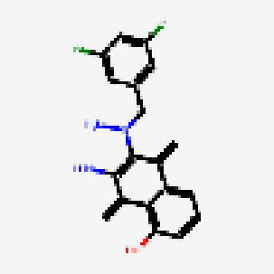 C=c1c(N(N)Cc2cc(F)cc(F)c2)c(N)c(=C)c2c(O)cccc12